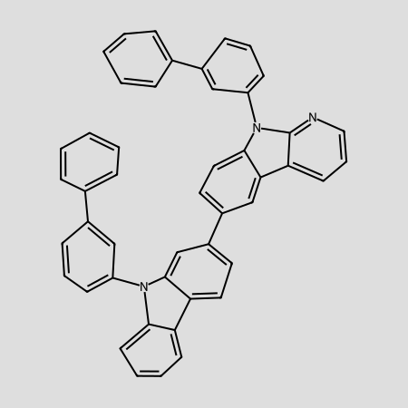 c1ccc(-c2cccc(-n3c4ccccc4c4ccc(-c5ccc6c(c5)c5cccnc5n6-c5cccc(-c6ccccc6)c5)cc43)c2)cc1